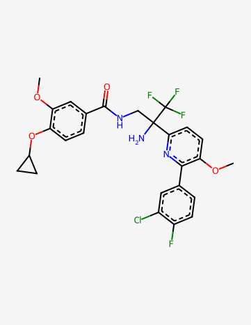 COc1cc(C(=O)NCC(N)(c2ccc(OC)c(-c3ccc(F)c(Cl)c3)n2)C(F)(F)F)ccc1OC1CC1